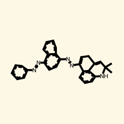 CC1(C)C=C2CC=C(N=Nc3ccc(N=Nc4ccccc4)c4ccccc34)c3cccc(c32)N1